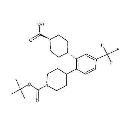 CC(C)(C)OC(=O)N1CCC(c2ccc(C(F)(F)F)cc2[C@H]2CC[C@H](C(=O)O)CC2)CC1